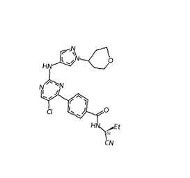 CC[C@@H](C#N)NC(=O)c1ccc(-c2nc(Nc3cnn(C4CCOCC4)c3)ncc2Cl)cc1